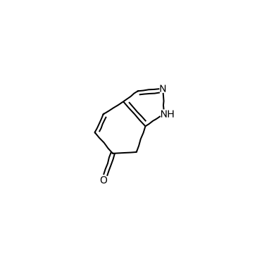 O=C1C=Cc2cn[nH]c2C1